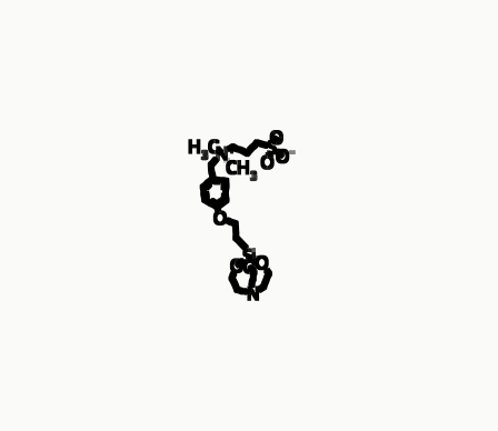 C[N+](C)(CCCS(=O)(=O)[O-])Cc1ccc(OCCC[Si]23OCCN(CCO2)CCO3)cc1